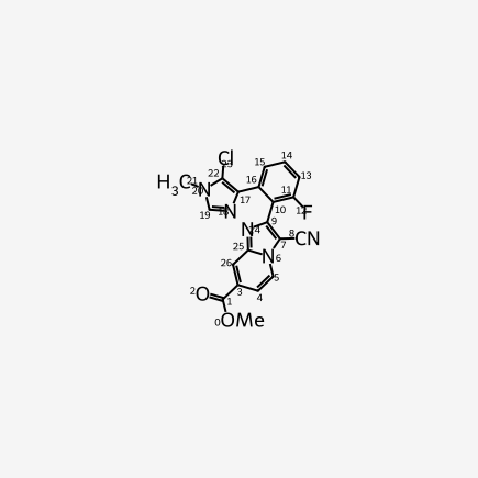 COC(=O)c1ccn2c(C#N)c(-c3c(F)cccc3-c3ncn(C)c3Cl)nc2c1